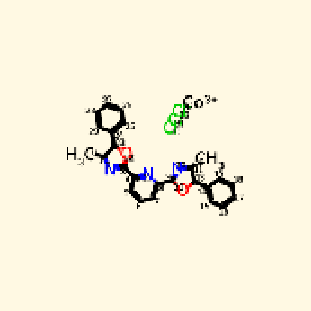 CC1N=C(c2cccc(C3=NC(C)C(c4ccccc4)O3)n2)OC1c1ccccc1.[Cl-].[Cl-].[Cl-].[Co+3]